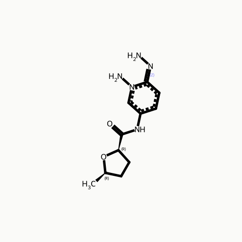 C[C@@H]1CC[C@H](C(=O)Nc2cc/c(=N/N)n(N)c2)O1